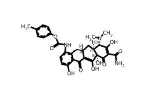 Cc1ccc(OC(=O)Nc2ccc(O)c3c2C[C@H]2C[C@H]4[C@H](N(C)C)C(O)=C(C(N)=O)C(=O)[C@@]4(O)C(O)=C2C3=O)cc1